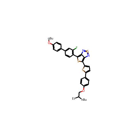 CCCCOc1ccc(-c2ccc(-c3sc(-c4ccc(-c5ccc(OCC(CC)CCCC)cc5)s4)c4c3N=S=N4)c(F)c2)cc1